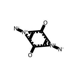 [N-]=[n+]1c2c(=O)c3[n+](=[N-])c=3c(=O)c1=2